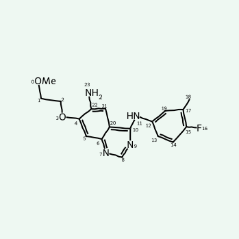 COCCOc1cc2ncnc(Nc3ccc(F)c(C)c3)c2cc1N